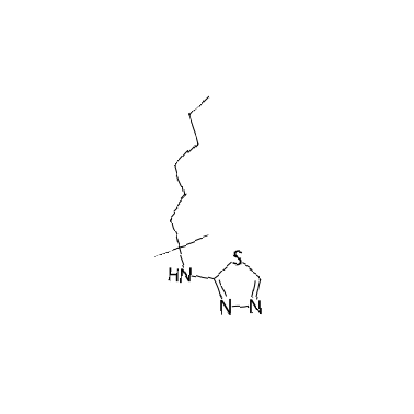 CCCCCCC(C)(C)Nc1nncs1